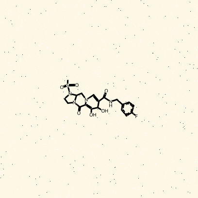 CS(=O)(=O)N1CCN2C(=O)C3=C(O)C(O)C(C(=O)NCc4ccc(F)cc4)=CN3CC21